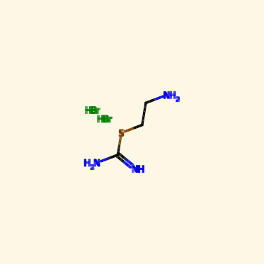 Br.Br.N=C(N)SCCN